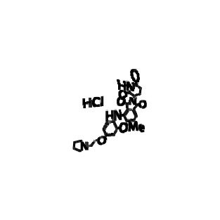 COc1cc(OCCN2CCCC2)ccc1Nc1cccc2c1C(=O)N(C1CCC(=O)NC1=O)C2=O.Cl